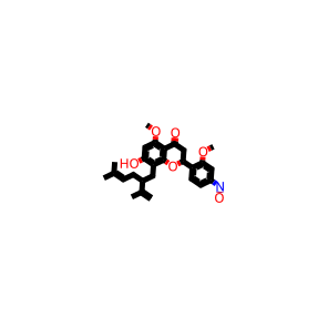 C=C(C)C(CC=C(C)C)Cc1c(O)cc(OC)c2c1OC(c1ccc(N=O)cc1OC)CC2=O